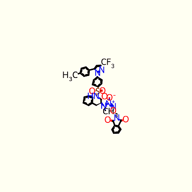 Cc1ccc(-c2cc(C(F)(F)F)nn2-c2ccc(S(=O)(=O)NC(=O)[C@H](Cc3ccccc3)N(C)/[N+]([O-])=N\OCN3C(=O)c4ccccc4C3=O)cc2)cc1